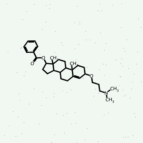 CN(C)CCCOC1C=C2CCC3C(CCC4(C)C(OC(=O)c5ccccc5)CCC34)C2(C)CC1